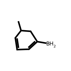 BC1=CC=CC(C)C1